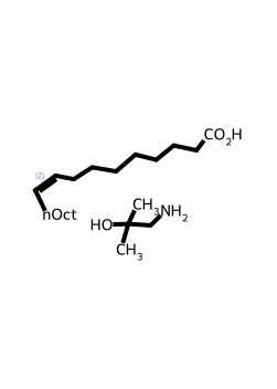 CC(C)(O)CN.CCCCCCCC/C=C\CCCCCCCC(=O)O